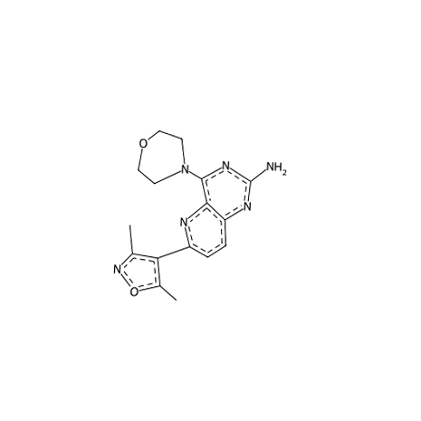 Cc1noc(C)c1-c1ccc2nc(N)nc(N3CCOCC3)c2n1